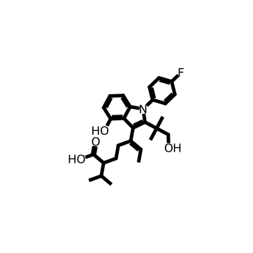 C/C=C(\CCC(C(=O)O)C(C)C)c1c(C(C)(C)CO)n(-c2ccc(F)cc2)c2cccc(O)c12